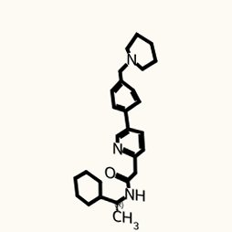 C[C@@H](NC(=O)Cc1ccc(-c2ccc(CN3CCCCC3)cc2)cn1)C1CCCCC1